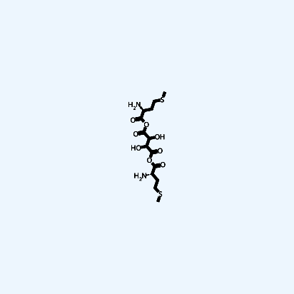 CSCC[C@H](N)C(=O)OC(=O)C(O)C(O)C(=O)OC(=O)[C@@H](N)CCSC